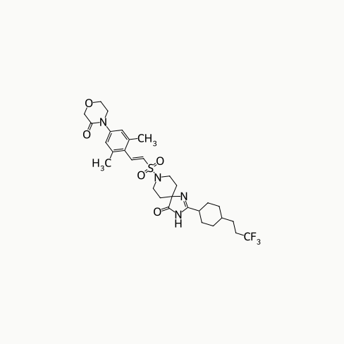 Cc1cc(N2CCOCC2=O)cc(C)c1C=CS(=O)(=O)N1CCC2(CC1)N=C(C1CCC(CCC(F)(F)F)CC1)NC2=O